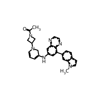 CC(=O)N1CC(N2C=CC=C(Nc3cc(-c4ccc5ccn(C)c5c4)c4nccnc4c3)C2)C1